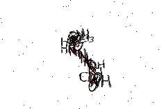 CCN(C)S(=O)(=O)Nc1ccc(F)c(C(=O)c2c[nH]c3ncc(-c4ccc(N5CCN(C(=O)CC6(O)CCN(c7cc(Cl)c(N8CCC(=O)NC8=O)cc7Cl)CC6)CC5)nc4)cc23)c1F